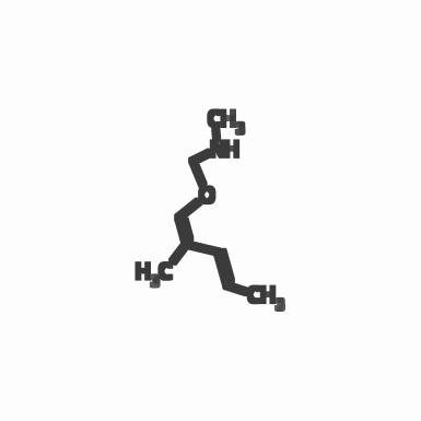 C/C=C/C(C)=C\OCNC